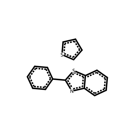 c1ccc(-c2nc3ccccc3s2)cc1.c1ccsc1